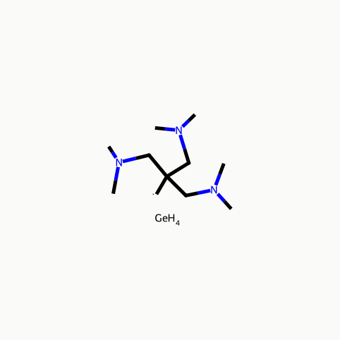 [CH2]C(CN(C)C)(CN(C)C)CN(C)C.[GeH4]